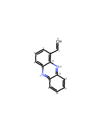 [CH]=Cc1[c]ccc2nc3ccccc3nc12